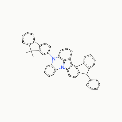 CC1(C)c2ccccc2-c2ccc(N3c4ccccc4-n4c5ccc6c(c5c5cccc3c54)-c3ccccc3C6c3ccccc3)cc21